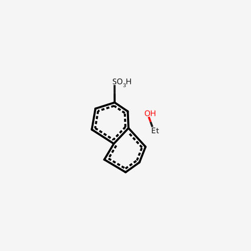 CCO.O=S(=O)(O)c1ccc2ccccc2c1